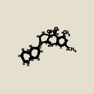 Cc1cc(C)c2c(c1)N=C1N(c3ccc4ncccc4c3)CC[C@@]1(O)C2=O